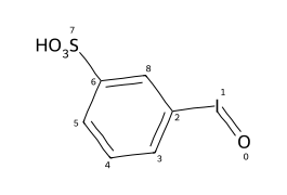 O=Ic1cccc(S(=O)(=O)O)c1